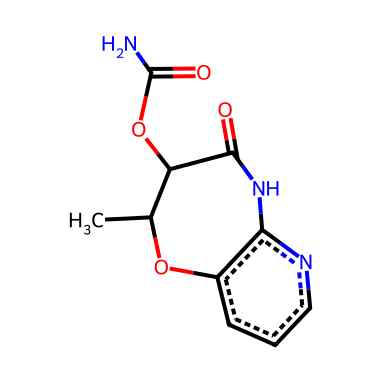 CC1Oc2cccnc2NC(=O)C1OC(N)=O